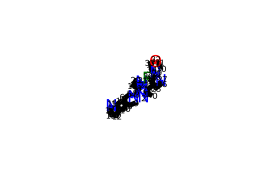 Cc1nc(N2CCC3(CC2)Cc2cccnc2C3)c2ccnn2c1-c1ccnc(N2CCOCC2)c1F